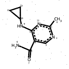 Cc1ncc(C(N)=O)c(NC2CC2)n1